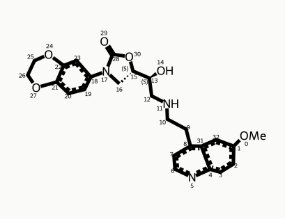 COc1ccc2nccc(CCNC[C@H](O)[C@@H]3CN(c4ccc5c(c4)OCCO5)C(=O)O3)c2c1